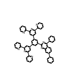 c1ccc(-c2ccc3c(-c4ccccc4)nc(-c4cc(-c5cc(-c6ccccn6)nc(-c6ccccn6)c5)cc(-c5cc(-c6ccccn6)nc(-c6ccccn6)c5)c4)nc3c2)cc1